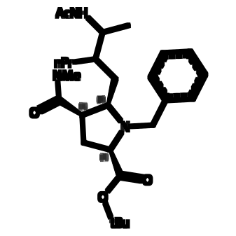 CCCC(C[C@@H]1[C@H](C(=O)NC)C[C@H](C(=O)OC(C)(C)C)N1Cc1ccccc1)C(C)NC(C)=O